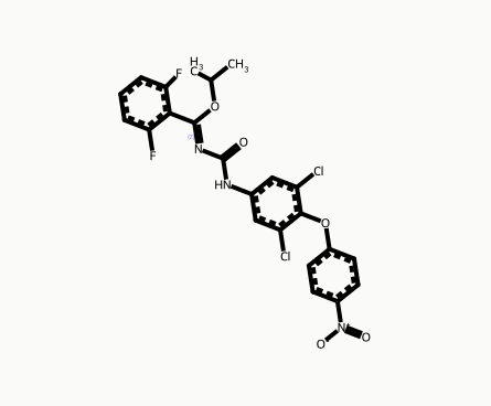 CC(C)O/C(=N\C(=O)Nc1cc(Cl)c(Oc2ccc([N+](=O)[O-])cc2)c(Cl)c1)c1c(F)cccc1F